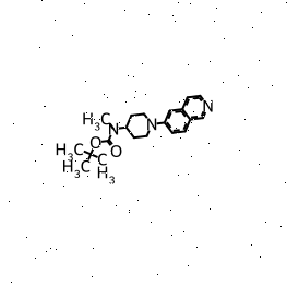 CN(C(=O)OC(C)(C)C)C1CCN(c2ccc3cnccc3c2)CC1